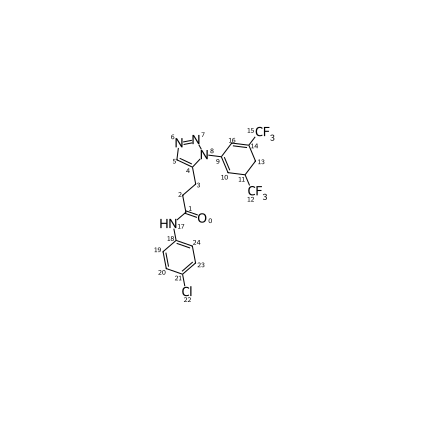 O=C(CCc1cnnn1C1=CC(C(F)(F)F)CC(C(F)(F)F)=C1)Nc1ccc(Cl)cc1